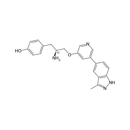 Cc1n[nH]c2ccc(-c3cncc(OC[C@@H](N)Cc4ccc(O)cc4)c3)cc12